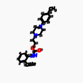 COc1ccccc1NC(=O)OCCN1CCN(c2ccc(C)cc2)CC1